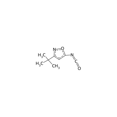 CC(C)(C)c1cc(N=C=O)on1